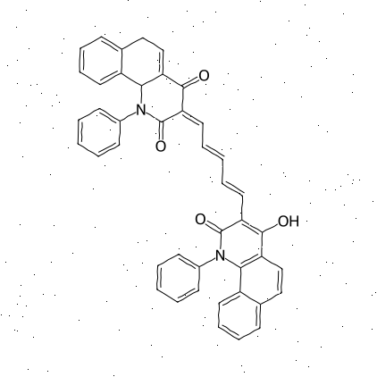 O=C1C(=CC=CC=Cc2c(O)c3ccc4ccccc4c3n(-c3ccccc3)c2=O)C(=O)N(c2ccccc2)C2C1=CCc1ccccc12